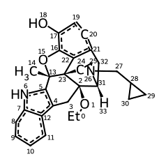 CCO[C@@]12Cc3c([nH]c4ccccc34)[C@]3(C)Oc4c(O)ccc5c4[C@@]31CCN(CC1CC1)[C@@H]2C5